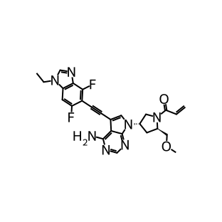 C=CC(=O)N1C[C@@H](n2cc(C#Cc3c(F)cc4c(ncn4CC)c3F)c3c(N)ncnc32)C[C@@H]1COC